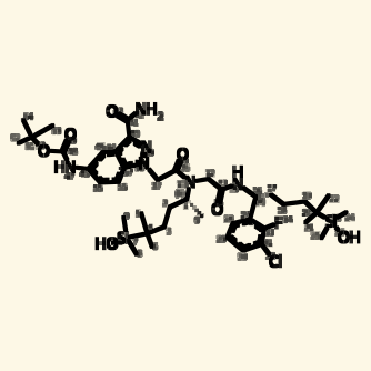 C[C@H](CCC(C)(C)[Si](C)(C)O)N(CC(=O)N[C@H](CCCC(C)(C)[Si](C)(C)O)c1cccc(Cl)c1F)C(=O)Cn1nc(C(N)=O)c2cc(NC(=O)OC(C)(C)C)ccc21